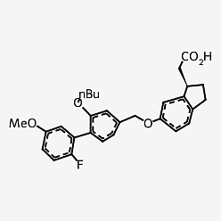 CCCCOc1cc(COc2ccc3c(c2)[C@@H](CC(=O)O)CC3)ccc1-c1cc(OC)ccc1F